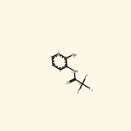 O=C(Nc1cccnc1O)C(F)(F)F